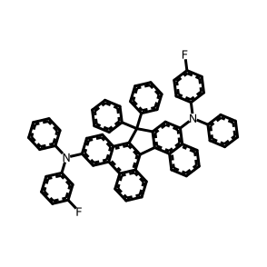 Fc1ccc(N(c2ccccc2)c2cc3c(c4ccccc24)-c2c(c4ccc(N(c5ccccc5)c5cccc(F)c5)cc4c4ccccc24)C3(c2ccccc2)c2ccccc2)cc1